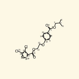 CC(C)COC(=O)c1ccc(OCCOC(=O)c2snc(Cl)c2Cl)cc1